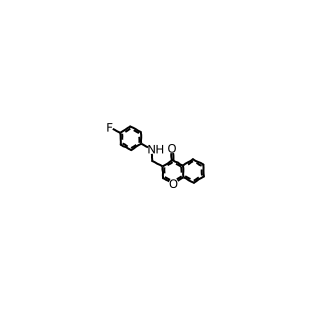 O=c1c(CNc2ccc(F)cc2)coc2ccccc12